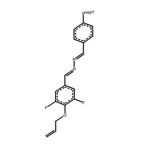 C=CCOc1c(F)cc(C=NN=Cc2ccc(CCCCCCC)cc2)cc1F